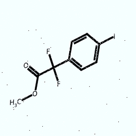 COC(=O)C(F)(F)c1ccc(I)cc1